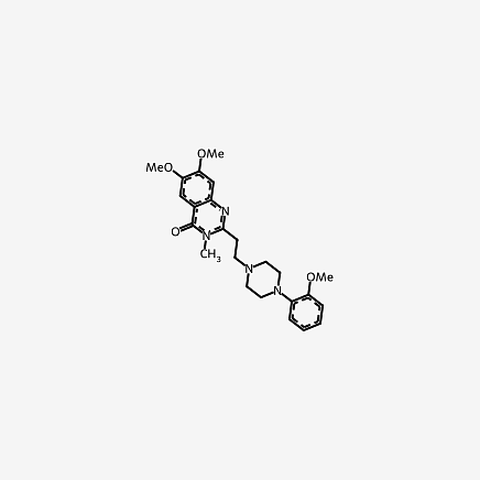 COc1cc2nc(CCN3CCN(c4ccccc4OC)CC3)n(C)c(=O)c2cc1OC